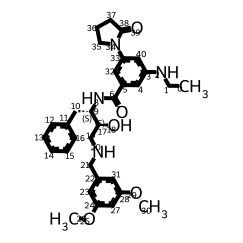 CCNc1cc(C(=O)N[C@@H](Cc2ccccc2)[C@@H](O)CNCc2cc(OC)cc(OC)c2)cc(N2CCCC2=O)c1